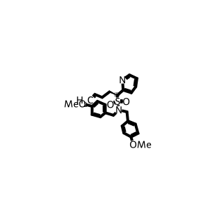 C=CCC[C@@H](c1ccccn1)S(=O)(=O)N(Cc1ccc(OC)cc1)Cc1ccc(OC)cc1